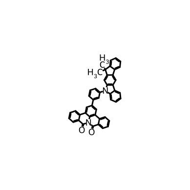 CC1(C)c2ccccc2-c2cc3c4ccccc4n(-c4cccc(-c5cc6c7ccccc7c(=O)n7c(=O)c8ccccc8c(c5)c67)c4)c3cc21